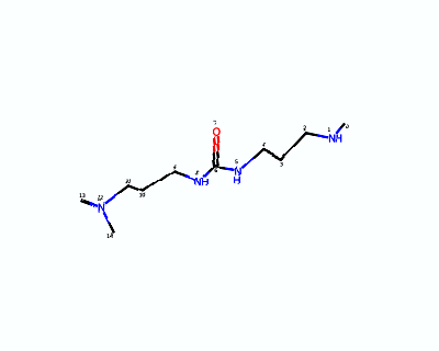 CNCCCNC(=O)NCCCN(C)C